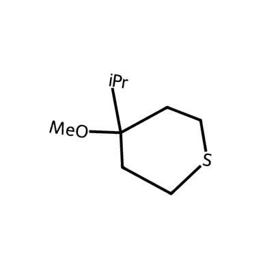 COC1(C(C)C)CCSCC1